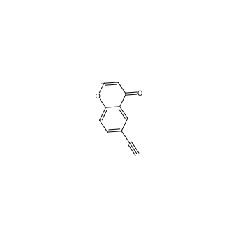 C#Cc1ccc2o[c]cc(=O)c2c1